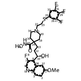 COc1ccc2ncc(F)c([C@H](O)CCC3(C(=O)NO)CCN(CCSc4cc(F)c(F)c(F)c4)CC3)c2c1